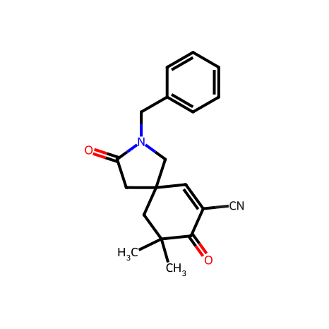 CC1(C)CC2(C=C(C#N)C1=O)CC(=O)N(Cc1ccccc1)C2